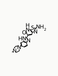 CN1CCN(c2ccc3nc(-c4cc5nc(N)sc5[nH]c4=O)[nH]c3c2)CC1